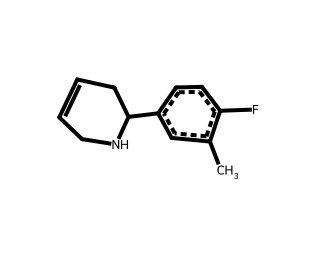 Cc1cc(C2CC=CCN2)ccc1F